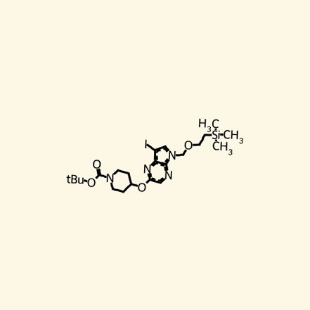 CC(C)(C)OC(=O)N1CCC(Oc2cnc3c(n2)c(I)cn3COCC[Si](C)(C)C)CC1